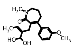 CC=C(CC1=C(c2cccc(OC)c2)CCCN(C)C1=O)C(O)O